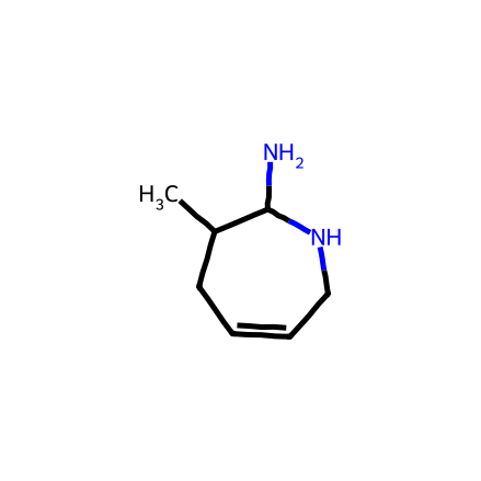 CC1CC=CCNC1N